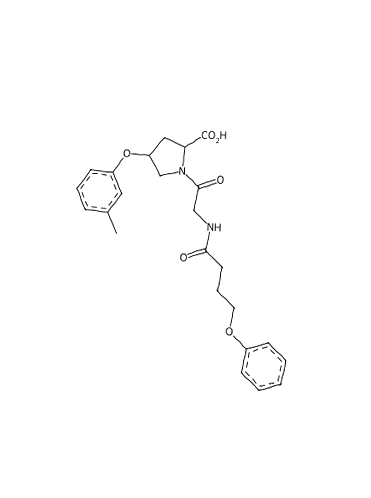 Cc1cccc(OC2CC(C(=O)O)N(C(=O)CNC(=O)CCCOc3ccccc3)C2)c1